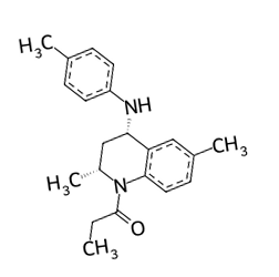 CCC(=O)N1c2ccc(C)cc2[C@@H](Nc2ccc(C)cc2)C[C@H]1C